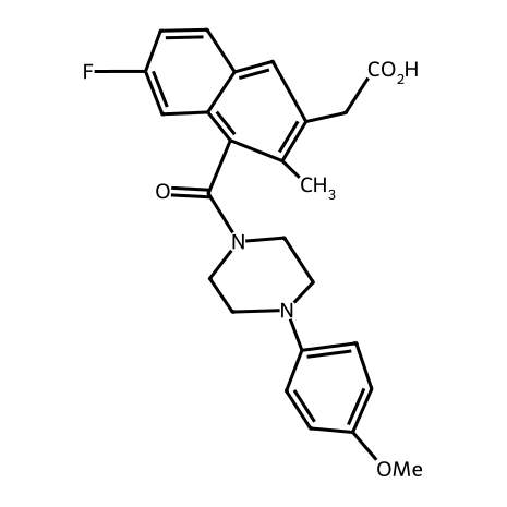 COc1ccc(N2CCN(C(=O)c3c(C)c(CC(=O)O)cc4ccc(F)cc34)CC2)cc1